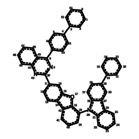 c1ccc(-c2ccc(-c3nc(-c4ccc5c(c4)oc4c(-n6c7ccccc7c7cc(-c8ccccc8)ccc76)cccc45)nc4ccccc34)cc2)cc1